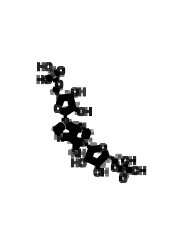 Nc1c2ncn([C@@H]3O[C@H](COP(=O)(O)O)[C@@H](O)[C@H]3O)c2nc[n+]1[C@@H]1O[C@H](COP(=O)(O)O)[C@@H](O)[C@H]1O